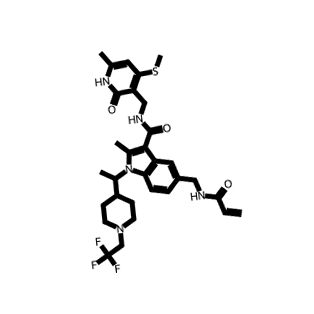 C=CC(=O)NCc1ccc2c(c1)c(C(=O)NCc1c(SC)cc(C)[nH]c1=O)c(C)n2C(C)C1CCN(CC(F)(F)F)CC1